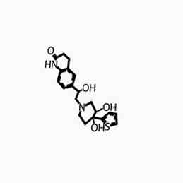 O=C1CCc2cc([C@@H](O)CN3CC[C@@](O)(c4cccs4)[C@H](O)C3)ccc2N1